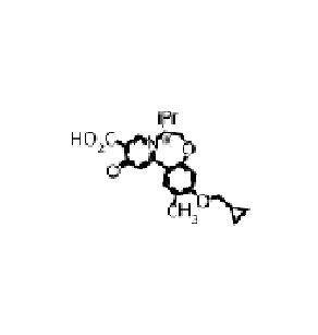 Cc1cc2c(cc1OCC1CC1)OC[C@@H](C(C)C)n1cc(C(=O)O)c(=O)cc1-2